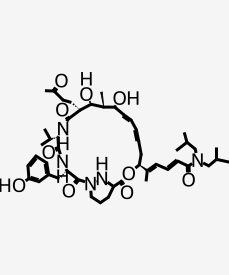 CC(=O)CC[C@H]1C(=O)N[C@@H](C(C)C)C(=O)N[C@@H](Cc2cccc(O)c2)C(=O)N2CCCC(N2)C(=O)O[C@H](/C(C)=C/C=C/C(=O)N(CC(C)C)CC(C)C)C/C=C/C=C/[C@H](O)[C@H](C)[C@H]1O